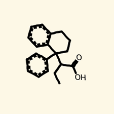 CCC(C(=O)O)C1(c2ccccc2)CCCc2ccccc21